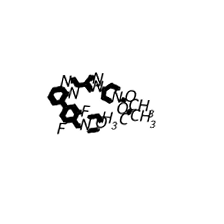 CC(C)(C)OC(=O)N1CCC(n2cc(-c3cnc4cccc(-c5cc(F)c(CN6CCOCC6)c(F)c5)c4n3)cn2)CC1